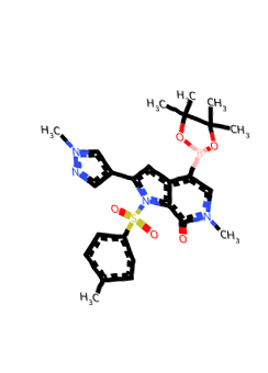 Cc1ccc(S(=O)(=O)n2c(-c3cnn(C)c3)cc3c(B4OC(C)(C)C(C)(C)O4)cn(C)c(=O)c32)cc1